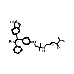 CC/C(=C(/c1ccc(OCC(C)(C)NC/C=C/C(=O)N(C)C)cc1)c1ccc2[nH]ncc2c1)c1ccccc1